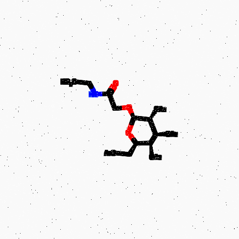 CC(=O)OC[C@H]1O[C@@H](OCC(=O)NCC(=O)O)[C@H](OC(C)=O)[C@@H](OC(C)=O)[C@@H]1OC(C)=O